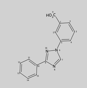 O=C(O)c1cccc(-n2cnc(-c3ccccc3)n2)c1